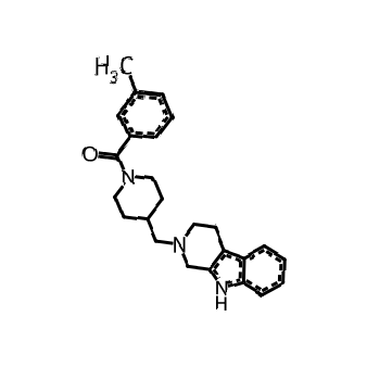 Cc1cccc(C(=O)N2CCC(CN3CCc4c([nH]c5ccccc45)C3)CC2)c1